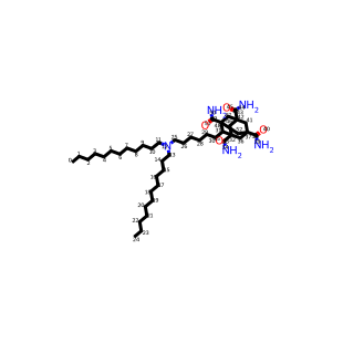 CCCCCCCCCCCCN(CCCCCCCCCCCC)CCCCCCC1C2(C(N)=O)CC3(C(N)=O)CC(C(N)=O)(C2)CC1(C(N)=O)C3